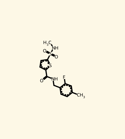 CNS(=O)(=O)c1ccc(C(=O)NCc2ccc(C)cc2F)s1